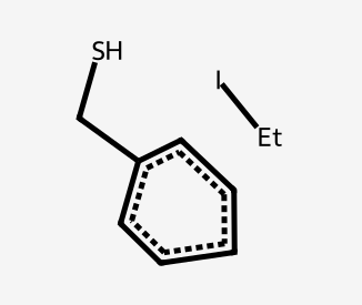 CCI.SCc1ccccc1